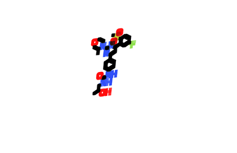 CC(O)CNC(=O)Nc1ccc(-c2cc(-c3cc(F)ccc3S(C)(=O)=O)nc(N3CCOCC3C)n2)cc1